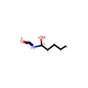 CCCCC(O)N=C=O